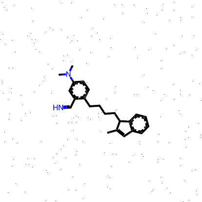 CC1=Cc2ccccc2C1CCCCc1ccc(N(C)C)cc1C=N